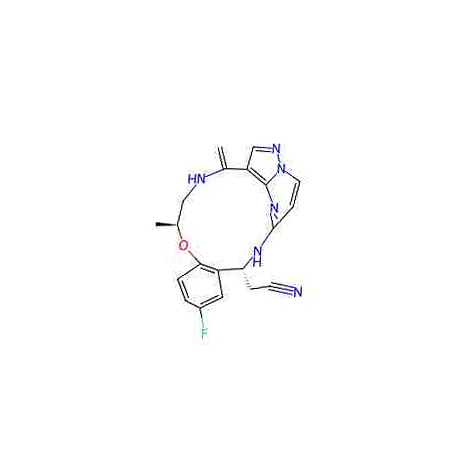 C=C1NC[C@H](C)Oc2ccc(F)cc2[C@@H](CC#N)Nc2ccn3ncc1c3n2